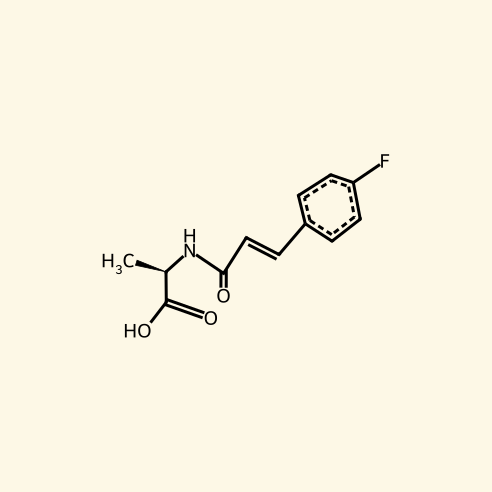 C[C@@H](NC(=O)/C=C/c1ccc(F)cc1)C(=O)O